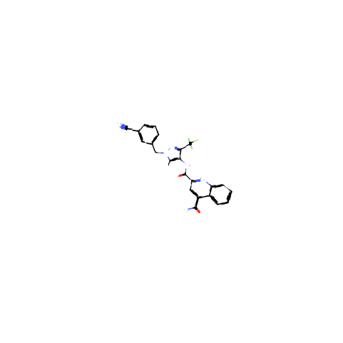 Cc1c(NC(=O)c2cc(C(N)=O)c3ccccc3n2)c(C(F)(F)F)nn1Cc1cccc(C#N)c1